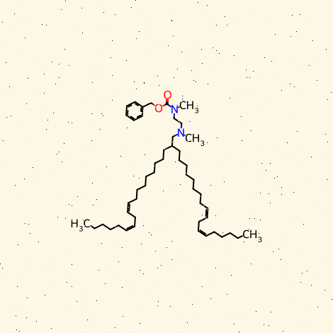 CCCCC/C=C\C/C=C\CCCCCCCCC(CCCCCCCC/C=C\C/C=C\CCCCC)CN(C)CCN(C)C(=O)OCc1ccccc1